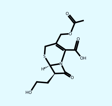 CC(=O)OCC1=C(C(=O)O)N2C(=O)[C@@H](CCO)[C@H]2SC1